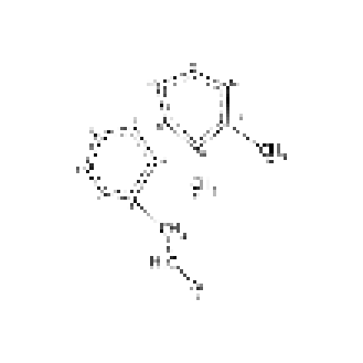 CC(C)=O.Cc1ccccc1.Cc1ccccc1C